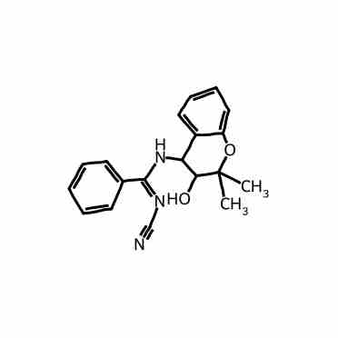 CC1(C)Oc2ccccc2C(NC(=NC#N)c2ccccc2)C1O